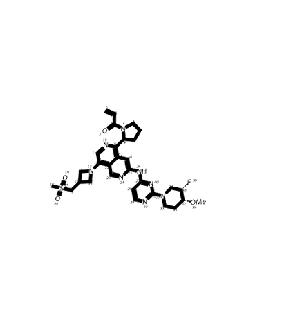 C=CC(=O)N1CCCC1c1ncc(N2CC(CS(C)(=O)=O)C2)c2cnc(Nc3ccnc(N4CC[C@@H](OC)[C@@H](F)C4)n3)cc12